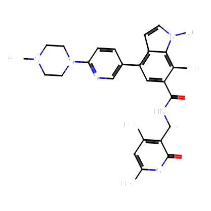 CCn1ccc2c(-c3ccc(N4CCN(C)CC4)nc3)cc(C(=O)NCc3c(C)cc(C)[nH]c3=O)c(C)c21